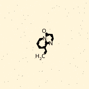 C=Cc1cccn2c(=O)ccnc12